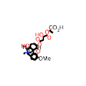 COc1ccc2c3c1O[C@H]1C(OC(=O)CC(O)C(=O)OC(C)C(=O)O)=CC[C@@]4(O)[C@@H](C2)N(C)CC[C@]314